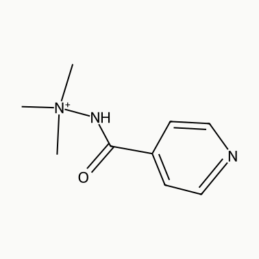 C[N+](C)(C)NC(=O)c1ccncc1